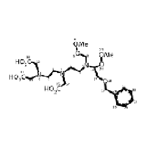 COOCN(CCN(CCN(CC(=O)O)CC(=O)O)CC(=O)O)C(COCc1ccccc1)OOC